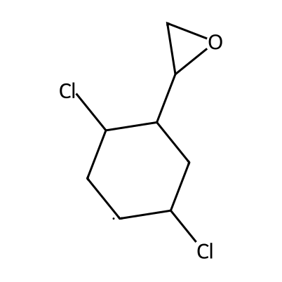 ClC1[CH]CC(Cl)C(C2CO2)C1